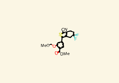 COCOc1cc(-c2sc(C#N)c3c2CC(F)(F)CC3)ccc1C(=O)OC